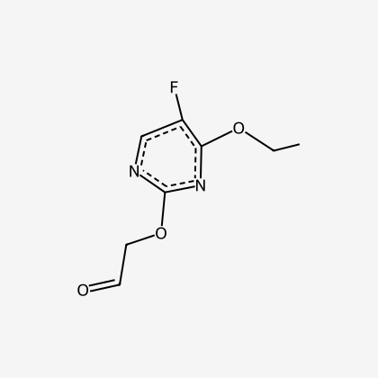 CCOc1nc(OCC=O)ncc1F